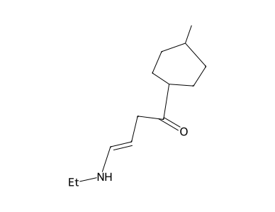 CCNC=CCC(=O)C1CCC(C)CC1